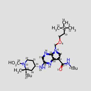 CC(C)(C)NC(=O)c1cn(COCC[Si](C)(C)C)c2ncc(N[C@H]3CCN(C(=O)O)[C@](C)(C(C)(C)C)C3)nc12